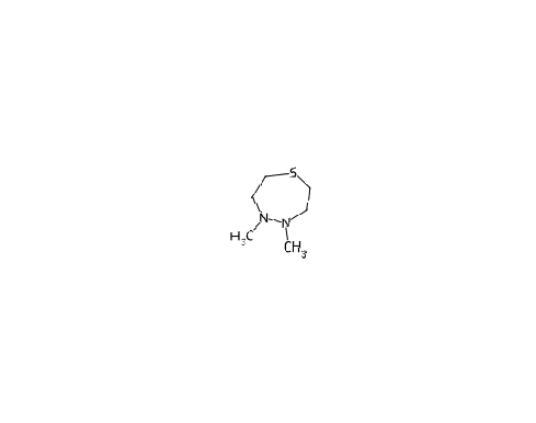 CN1CCSCCN1C